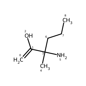 C=C(O)C(C)(N)CCC